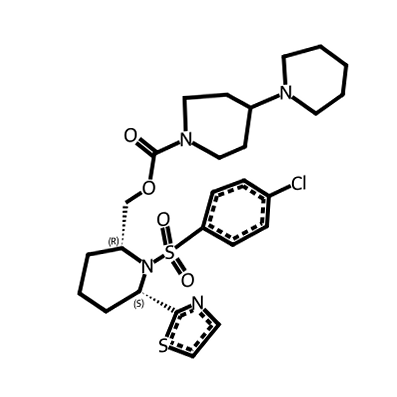 O=C(OC[C@H]1CCC[C@@H](c2nccs2)N1S(=O)(=O)c1ccc(Cl)cc1)N1CCC(N2CCCCC2)CC1